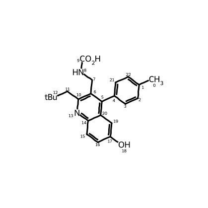 Cc1ccc(-c2c(CNC(=O)O)c(CC(C)(C)C)nc3ccc(O)cc23)cc1